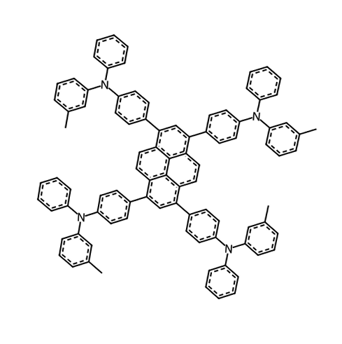 Cc1cccc(N(c2ccccc2)c2ccc(-c3cc(-c4ccc(N(c5ccccc5)c5cccc(C)c5)cc4)c4ccc5c(-c6ccc(N(c7ccccc7)c7cccc(C)c7)cc6)cc(-c6ccc(N(c7ccccc7)c7cccc(C)c7)cc6)c6ccc3c4c65)cc2)c1